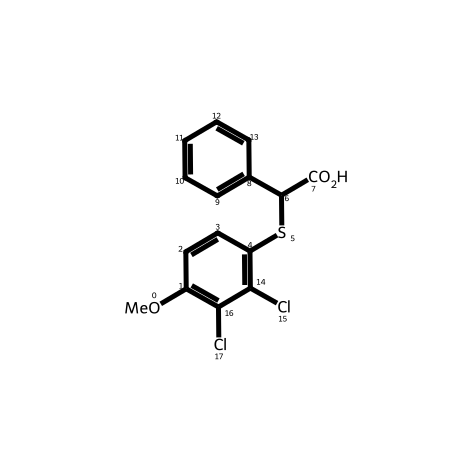 COc1ccc(SC(C(=O)O)c2ccccc2)c(Cl)c1Cl